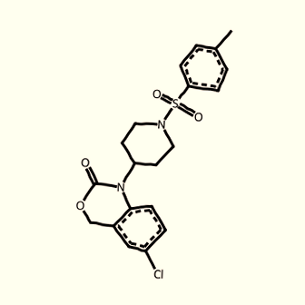 Cc1ccc(S(=O)(=O)N2CCC(N3C(=O)OCc4cc(Cl)ccc43)CC2)cc1